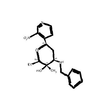 CC[C@H]1O[C@@H](c2ccncc2[N+](=O)[O-])C[C@@H](NCc2ccccc2)[C@]1(C)O